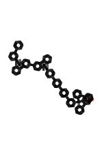 c1ccc(-c2cccc(-n3c4ccccc4c4cc(-c5ccc6c(c5)c5ccccc5n6-c5ccc(-c6ccc(-c7ccc(-c8cccc(C9(c%10ccccc%10-c%10ccccc%10)c%10ccccc%10-c%10ccccc%109)c8)cc7)cc6)cc5)ccc43)c2)cc1